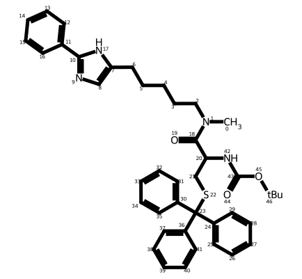 CN(CCCCCc1cnc(-c2ccccc2)[nH]1)C(=O)C(CSC(c1ccccc1)(c1ccccc1)c1ccccc1)NC(=O)OC(C)(C)C